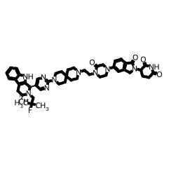 C[C@@H]1Cc2c([nH]c3ccccc23)[C@@H](c2cnc(N3CCC4(CCN(CCN5CCN(c6ccc7c(c6)CN(C6CCC(=O)NC6=O)C7=O)CC5=O)CC4)CC3)nc2)N1CC(C)(C)F